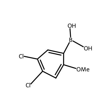 COc1cc(Cl)c(Cl)cc1B(O)O